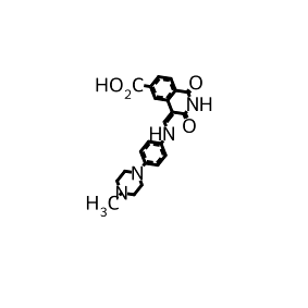 CN1CCN(c2ccc(NC=C3C(=O)NC(=O)c4ccc(C(=O)O)cc43)cc2)CC1